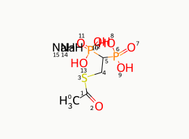 CC(=O)SCC(P(=O)(O)O)P(=O)(O)O.[NaH].[NaH]